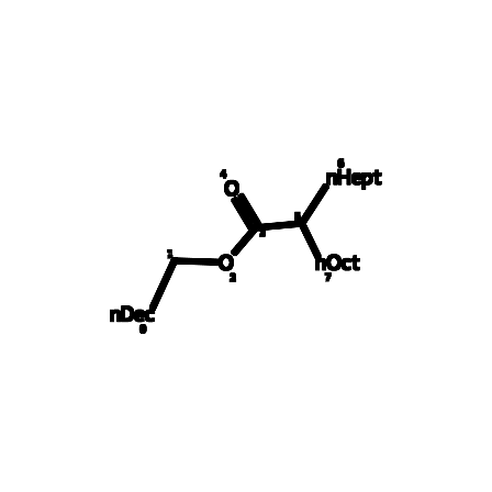 CCCCCCCCCCCOC(=O)C(CCCCCCC)CCCCCCCC